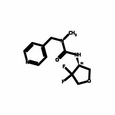 CN(Cc1ccncc1)C(=O)N[C@@H]1COCC1(F)F